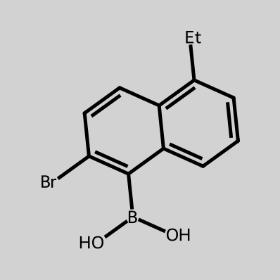 CCc1cccc2c(B(O)O)c(Br)ccc12